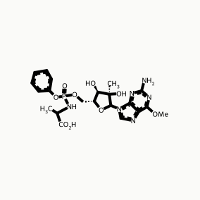 COc1nc(N)nc2c1ncn2C1O[C@H](COP(=O)(NC(C)C(=O)O)Oc2ccccc2)[C@@H](O)[C@@]1(C)O